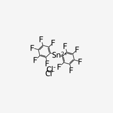 Fc1c(F)c(F)[c]([Sn+2][c]2c(F)c(F)c(F)c(F)c2F)c(F)c1F.[Cl-].[Cl-]